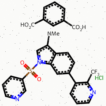 CNc1cn(S(=O)(=O)c2cccnc2)c2cc(-c3cccnc3C(F)(F)F)ccc12.Cl.O=C(O)c1cccc(C(=O)O)c1